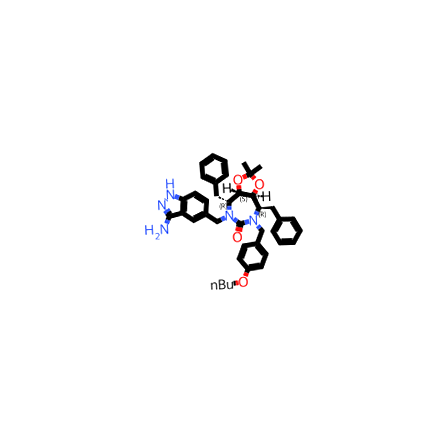 CCCCOc1ccc(CN2C(=O)N(Cc3ccc4[nH]nc(N)c4c3)[C@H](Cc3ccccc3)[C@@H]3OC(C)(C)O[C@H]3[C@H]2Cc2ccccc2)cc1